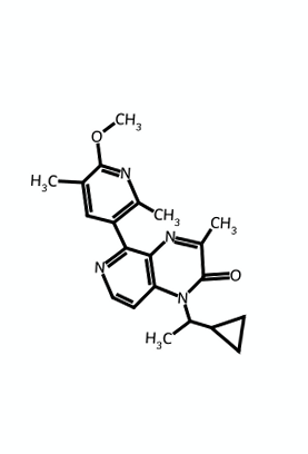 COc1nc(C)c(-c2nccc3c2nc(C)c(=O)n3C(C)C2CC2)cc1C